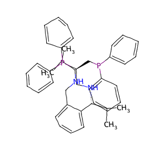 CC(C)[C@@H](CP(c1ccccc1)c1ccccc1)NCc1ccccc1[C@H](NCCP(c1ccccc1)c1ccccc1)C(C)C